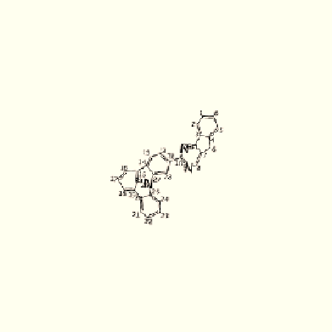 c1ccc2c(c1)Cc1cnc(-c3ccc4c5cccc6c7ccccc7n(c4c3)c65)nc1-2